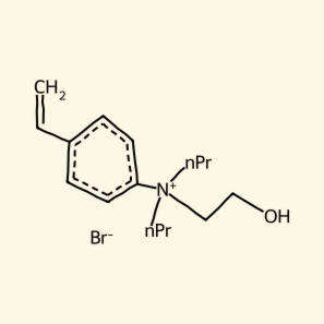 C=Cc1ccc([N+](CCC)(CCC)CCO)cc1.[Br-]